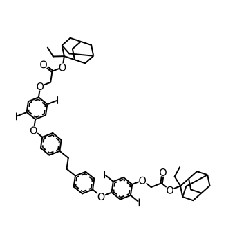 CCC1(OC(=O)COc2cc(I)c(Oc3ccc(CCc4ccc(Oc5cc(I)c(OCC(=O)OC6(CC)C7CC8CC(C7)CC6C8)cc5I)cc4)cc3)cc2I)C2CC3CC(C2)CC1C3